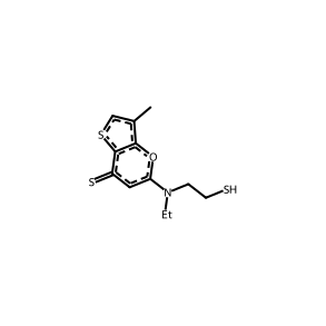 CCN(CCS)c1cc(=S)c2scc(C)c2o1